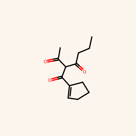 CCCC(=O)C(C(C)=O)C(=O)C1=CCCC1